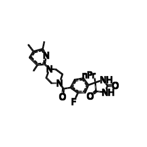 CCCC1(c2ccc(C(=O)N3CCN(c4nc(C)c(C)cc4C)CC3)c(F)c2)NC(=O)NC1=O